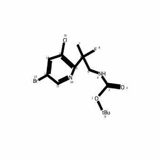 CC(C)(C)OC(=O)NCC(C)(F)c1ncc(Br)cc1Cl